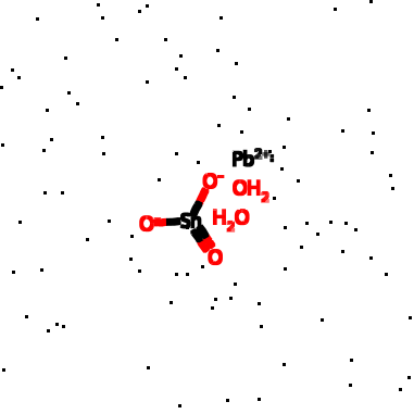 O.O.[O]=[Sn]([O-])[O-].[Pb+2]